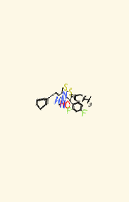 C[C@@H](Sc1nc(C=Cc2ccccc2)cs1)C(O)(Cn1cncn1)c1ccc(F)cc1F